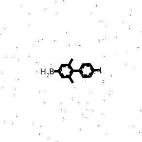 Bc1cc(C)c(-c2ccc(I)cc2)c(C)c1